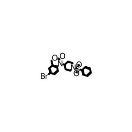 O=C1OCc2cc(Br)ccc2N1C1CCN(S(=O)(=O)c2ccccc2)CC1